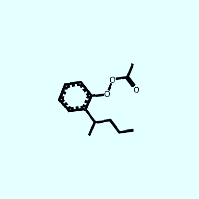 CCCC(C)c1ccccc1OOC(C)=O